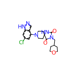 O=C1NC2(CCN(c3cc(Cl)cc4[nH]ncc34)CC2)C(=O)N1CC1CCOCC1